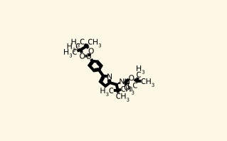 CC(C)(C)OC(=O)N[C@H](C1=NC(c2ccc(B3OC(C)(C)C(C)(C)O3)cc2)=CC1)C(C)(C)C